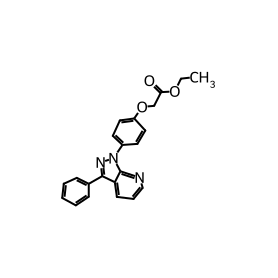 CCOC(=O)COc1ccc(-n2nc(-c3ccccc3)c3cccnc32)cc1